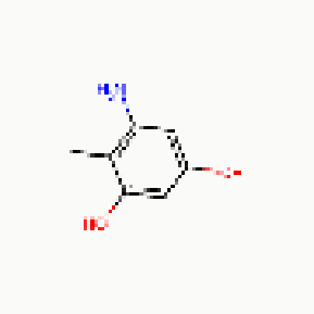 Cc1c(N)cc(O)cc1O